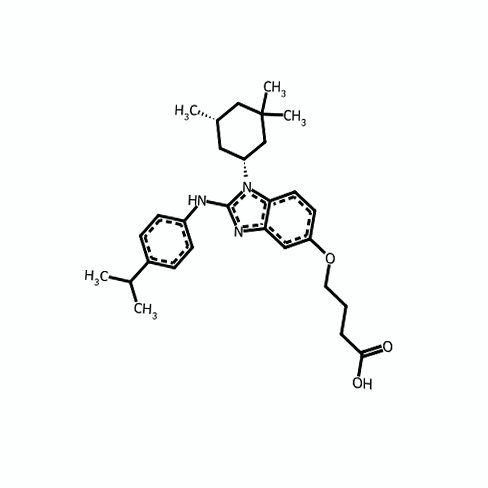 CC(C)c1ccc(Nc2nc3cc(OCCCC(=O)O)ccc3n2[C@@H]2C[C@H](C)CC(C)(C)C2)cc1